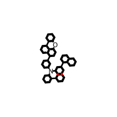 c1ccc(-c2ccccc2N(c2cccc(-c3cccc4ccccc34)c2)c2cccc(-c3ccc4c5c(cccc35)-c3ccccc3O4)c2)cc1